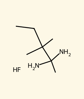 CCC(C)(C)C(C)(N)N.F